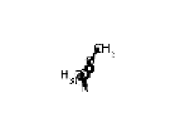 CCCCOc1ccc(/C=C(/C#N)S(C)(=O)=O)cc1